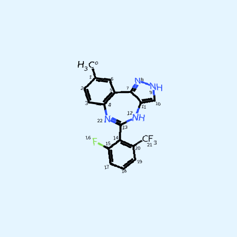 Cc1ccc2c(c1)-c1n[nH]cc1NC(c1c(F)cccc1C(F)(F)F)=N2